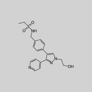 CCS(=O)(=O)NCc1ccc(-c2cn(CCO)nc2-c2ccncc2)cc1